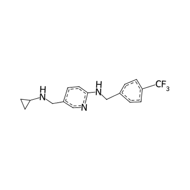 FC(F)(F)c1ccc(CNc2ccc(CNC3CC3)cn2)cc1